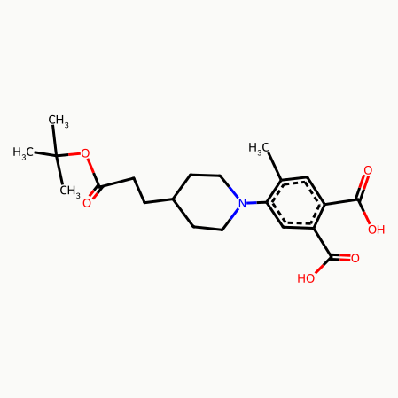 Cc1cc(C(=O)O)c(C(=O)O)cc1N1CCC(CCC(=O)OC(C)(C)C)CC1